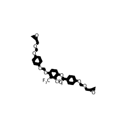 O=C(Oc1ccc(OCOc2ccc(OCOCC3CO3)cc2)c(C(F)(F)F)c1C(F)(F)F)c1ccc(OCOCC2CO2)cc1